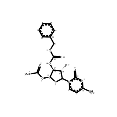 COC(=O)O[C@@H]1SC(n2ccc(N)nc2=O)[C@@H](F)[C@@H]1OC(=O)OCc1ccccc1